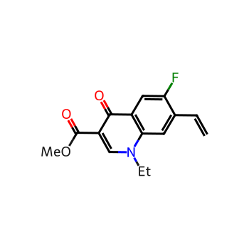 C=Cc1cc2c(cc1F)c(=O)c(C(=O)OC)cn2CC